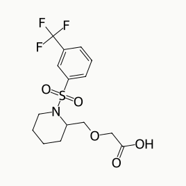 O=C(O)COCC1CCCCN1S(=O)(=O)c1cccc(C(F)(F)F)c1